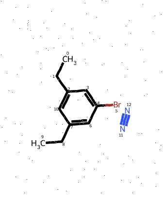 CCc1cc(Br)cc(CC)c1.N#N